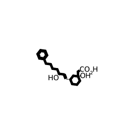 O=C(O)C[C@@]1(O)CCC[C@H](C=CC(O)CCCCc2ccccc2)C1